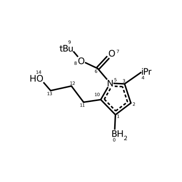 Bc1cc(C(C)C)n(C(=O)OC(C)(C)C)c1CCCO